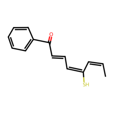 C\C=C/C(S)=C\C=C\C(=O)c1ccccc1